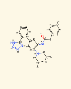 Cc1ccc(CC(=O)Nc2cc(-c3ccccc3-c3nnn[nH]3)ccc2N2CC(C)CC(C)C2)cc1